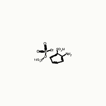 CCS(=O)(=O)OS(=O)(=O)O.Nc1ccccc1S(=O)(=O)O